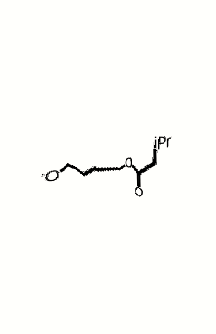 CC(C)CC(=O)OCCCC[O]